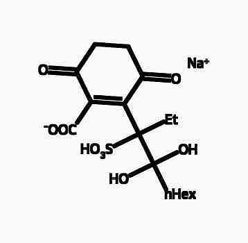 CCCCCCC(O)(O)C(CC)(C1=C(C(=O)[O-])C(=O)CCC1=O)S(=O)(=O)O.[Na+]